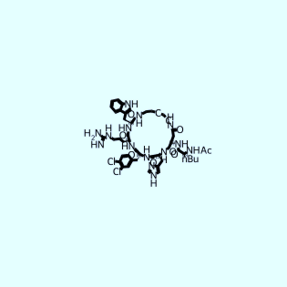 CCCC[C@H](NC(C)=O)C(=O)N[C@H]1CC(=O)NCCCCCNC(=O)[C@H](Cc2c[nH]c3ccccc23)NC(=O)[C@H](CCCNC(=N)N)NC(=O)[C@@H](Cc2ccc(Cl)c(Cl)c2)NC(=O)[C@H](Cc2c[nH]cn2)NC1=O